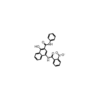 O=C(Nc1cc(C(=O)Nc2ccccc2)c(O)c2ccccc12)c1ccccc1[N+](=O)[O-]